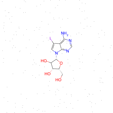 Nc1ncnc2c1c(I)cn2[C@@H]1O[C@H](CO)[C@H](O)C1O